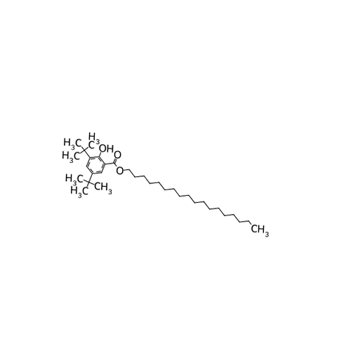 CCCCCCCCCCCCCCCCCCOC(=O)c1cc(C(C)(C)C)cc(C(C)(C)C)c1O